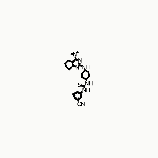 CN(C)c1nc(NC2CCC(NC(=S)Nc3cccc(C#N)c3)CC2)nc2c1CCCC2